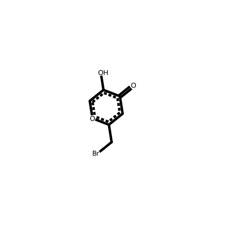 O=c1cc(CBr)occ1O